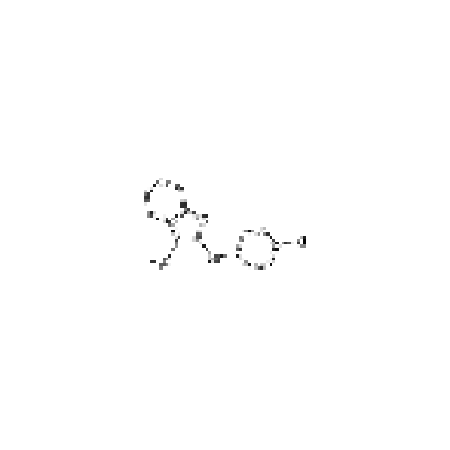 Cc1c([Se]c2ccc(Cl)cc2)sc2ccccc12